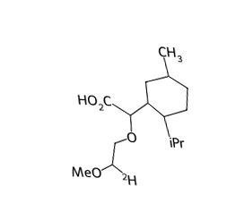 [2H]C(COC(C(=O)O)C1CC(C)CCC1C(C)C)OC